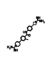 Cc1cc(C2=CCN(C(=N)N)CC2)ccc1C(=O)Nc1ccc(C2CN(C(=N)N)C2)cc1